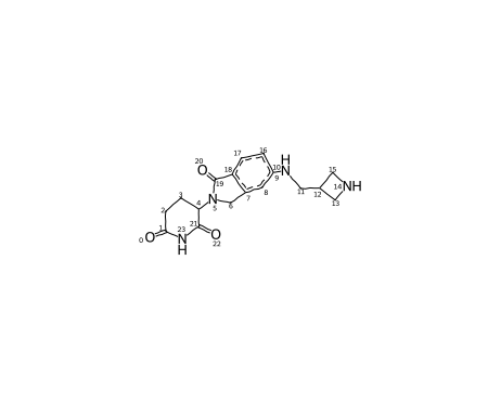 O=C1CCC(N2Cc3cc(NCC4CNC4)ccc3C2=O)C(=O)N1